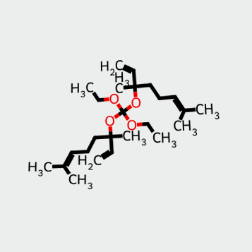 C=CC(C)(CCC=C(C)C)OC(OCC)(OCC)OC(C)(C=C)CCC=C(C)C